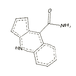 NC(=O)c1c2cccc-2[nH]c2ccccc12